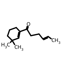 C/C=C/CCC(=O)C1=CC(C)(C)CCC1